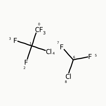 FC(F)(F)C(F)(F)Cl.FC(F)Cl